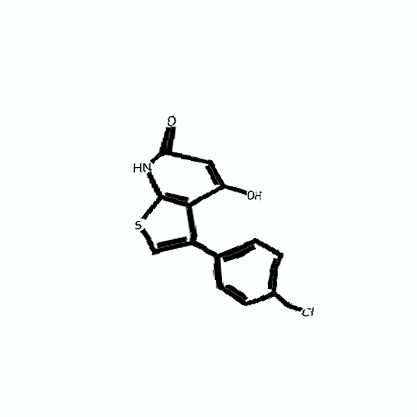 O=c1cc(O)c2c(-c3ccc(Cl)cc3)csc2[nH]1